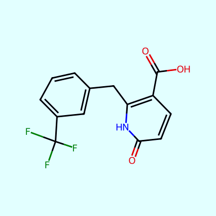 O=C(O)c1ccc(=O)[nH]c1Cc1cccc(C(F)(F)F)c1